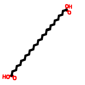 O=C(O)CCCCCCCC=CCCCCCCCCCCCCCCCCC(=O)O